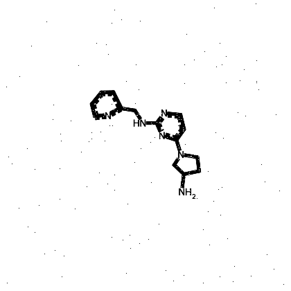 NC1CCN(c2ccnc(NCc3ccccn3)n2)C1